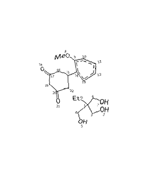 CCC(CO)(CO)CO.COc1ccccc1C1CC(=O)CC(=O)C1